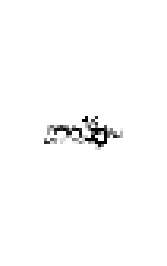 COP(=O)(COS(=O)(=O)c1cc(Cl)ccc1Cl)OC(C)C